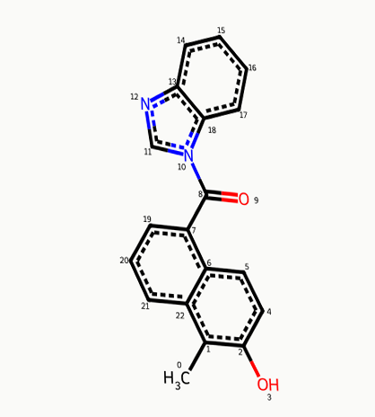 Cc1c(O)ccc2c(C(=O)n3cnc4ccccc43)cccc12